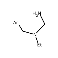 CCN(CN)CC(C)=O